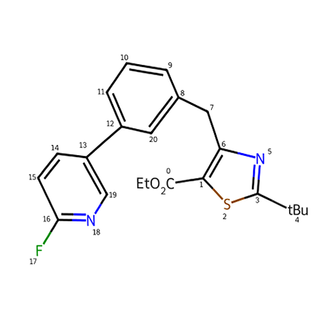 CCOC(=O)c1sc(C(C)(C)C)nc1Cc1cccc(-c2ccc(F)nc2)c1